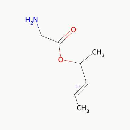 C/C=C/C(C)OC(=O)CN